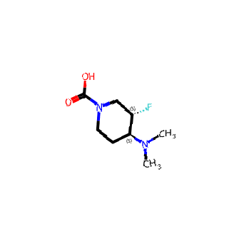 CN(C)[C@H]1CCN(C(=O)O)C[C@@H]1F